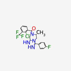 CC1CN(C(=N)c2ccc(F)cc2)C(=N)CN1C(=O)c1cccc(C(F)(F)F)c1Cl